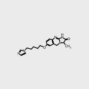 CC1C(=O)NC2=Nc3ccc(OCCCCCn4ccnc4)cc3CN21